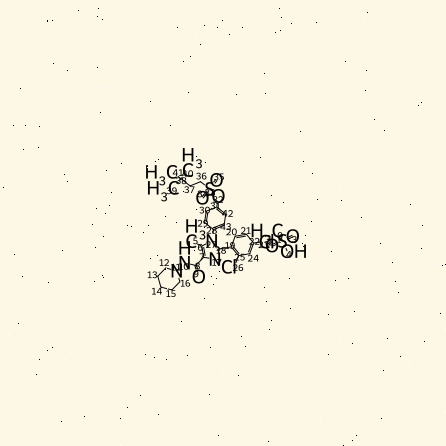 CS(=O)(=O)O.Cc1c(C(=O)NN2CCCCC2)nc(-c2ccc(Cl)cc2Cl)n1-c1ccc(OS(=O)(=O)CCC(C)(C)C)cc1